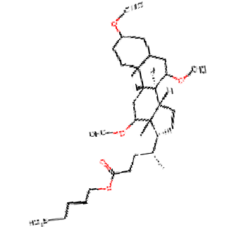 C[C@H](CCC(=O)OCCCCS(=O)(=O)O)[C@H]1CC[C@H]2[C@@H]3C(OC=O)CC4CC(OC=O)CCC4(C)[C@H]3CC(OC=O)C12C